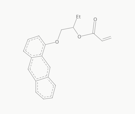 C=CC(=O)OC(CC)COc1cccc2cc3ccccc3cc12